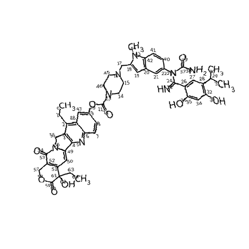 CCc1c2c(nc3ccc(OC(=O)N4CCN(Cc5cc6cc(N(C(=N)c7cc(C(C)C)c(O)cc7O)C(N)=O)ccc6n5C)CC4)cc13)-c1cc3c(c(=O)n1C2)COC(=O)C3(O)CC